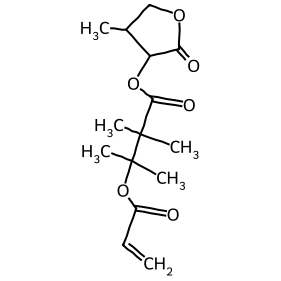 C=CC(=O)OC(C)(C)C(C)(C)C(=O)OC1C(=O)OCC1C